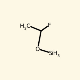 CC(F)O[SiH3]